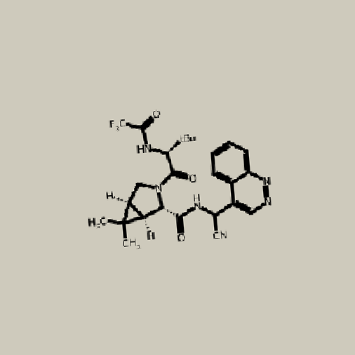 CC(C)(C)[C@H](NC(=O)C(F)(F)F)C(=O)N1C[C@H]2[C@@H]([C@H]1C(=O)NC(C#N)c1cnnc3ccccc13)C2(C)C